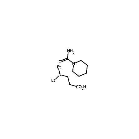 CCN(CC)CCC(=O)O.NC(=O)N1CCCCC1